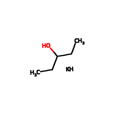 CCC(O)CC.[KH]